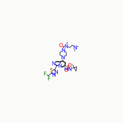 CN(C)CCN(C)C(=O)N1CCN(c2cc(S(=O)(=O)NC3(C)CC3)cn3c(-c4nnc(C(F)F)s4)ncc23)CC1